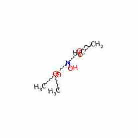 C=C/C=C(\C=C/CCCOC(=O)CCCCCCCN(CCO)CCCCCCCC(=O)OC(CCCCCCCC)CCCCCCCC)CCCC